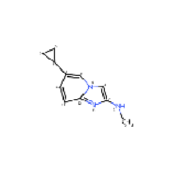 CNc1cn2cc(C3CC3)ccc2n1